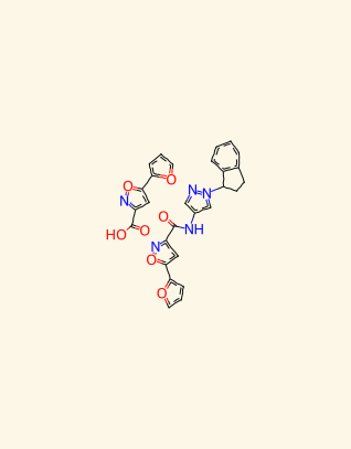 O=C(Nc1cnn(C2CCc3ccccc32)c1)c1cc(-c2ccco2)on1.O=C(O)c1cc(-c2ccco2)on1